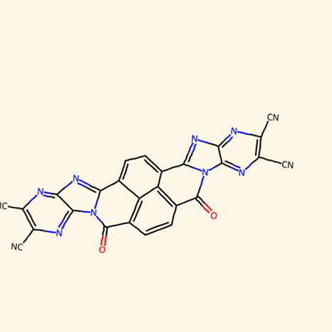 N#Cc1nc2nc3c4ccc5c6c(ccc(c(=O)n3c2nc1C#N)c46)c(=O)n1c2nc(C#N)c(C#N)nc2nc51